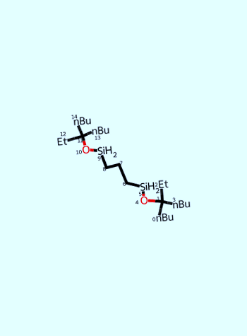 CCCCC(CC)(CCCC)O[SiH2]CCC[SiH2]OC(CC)(CCCC)CCCC